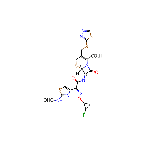 O=CNc1nc(C(=NOC2CC2F)C(=O)N[C@@H]2C(=O)N3C(C(=O)O)=C(CSc4nncs4)CS[C@@H]23)cs1